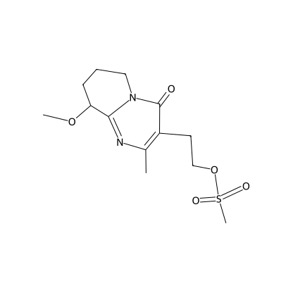 COC1CCCn2c1nc(C)c(CCOS(C)(=O)=O)c2=O